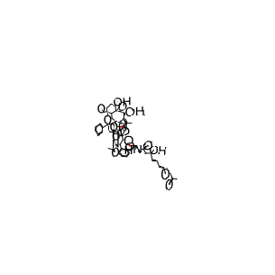 CC(=O)COCCCCC(O)CC(=O)NCC(=O)O[C@@H](C(=O)O[C@H]1C[C@@]2(O)[C@@H](OC(=O)c3ccccc3)C3C(C)(C(=O)[C@H](O)C(=C1C)C2(C)C)[C@@H](O)CC1OC[C@]13C)[C@@H](NC(C)=O)c1ccccc1